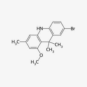 COc1cc(C)cc2c1C(C)(C)c1cc(Br)ccc1N2